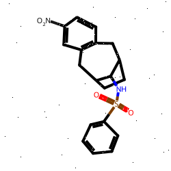 O=[N+]([O-])c1ccc2c(c1)CC1CCC(C2)C1NS(=O)(=O)c1ccccc1